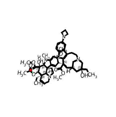 CC[C@]1(O)C[C@H]2CN(CCC3=C(Bc4ccc(N5CCC5)cc43)[C@@](C(=O)OC)(C3C=C4C(=CC3OC)N(C)[C@H]3[C@@](O)(C(=O)OC)[C@H](OC(C)=O)[C@]5(CC)C=CCN6CC[C@]43[C@@H]65)C2)C1